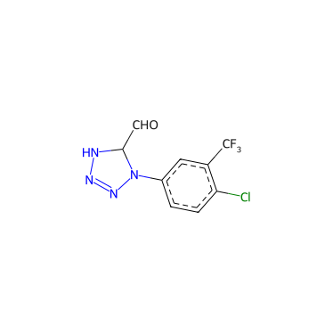 O=CC1NN=NN1c1ccc(Cl)c(C(F)(F)F)c1